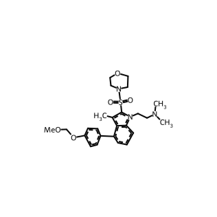 COCOc1ccc(-c2cccc3c2c(C)c(S(=O)(=O)N2CCOCC2)n3CCN(C)C)cc1